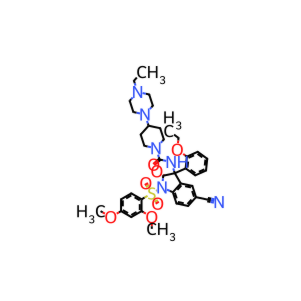 CCOc1ccccc1C1(NC(=O)N2CCC(N3CCN(CC)CC3)CC2)C(=O)N(S(=O)(=O)c2ccc(OC)cc2OC)c2ccc(C#N)cc21